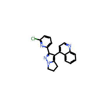 Clc1cccc(-c2nn3c(c2-c2ccnc4ccccc24)CCC3)n1